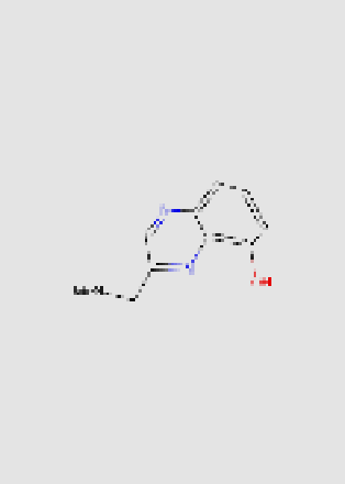 CNCc1cnc2cccc(O)c2n1